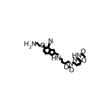 N#Cc1c(OCCN)ccc2c1CC(CNCCC1CN(c3ccc4c(n3)NC(=O)CO4)C(=O)O1)C2